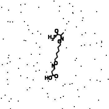 C/C(=N/OCCCCCCO/N=C/CC(=O)O)C(=O)P